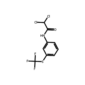 O=C(Nc1cccc(SC(F)(F)F)c1)C(Cl)Cl